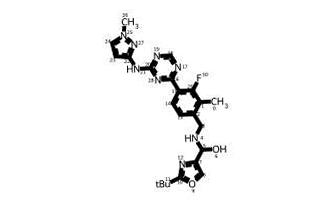 Cc1c(CNC(O)c2coc(C(C)(C)C)n2)ccc(-c2ncnc(Nc3ccn(C)n3)n2)c1F